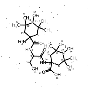 CC1(C)CC(N)(C(=O)NC(CO)C(=O)NC2(C(=O)O)CC(C)(C)N(O)C(C)(C)C2)CC(C)(C)N1O